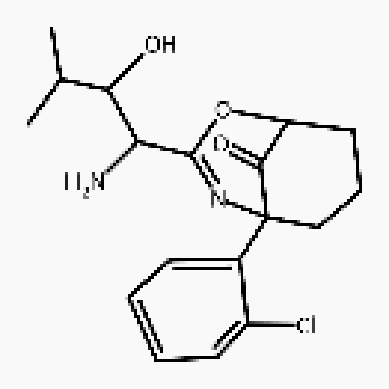 CC(C)C(O)C(N)C1=NC2(c3ccccc3Cl)CCCC(O1)C2=O